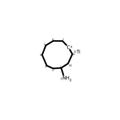 NC1CCCCCCCCC1.[Ti]